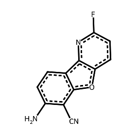 N#Cc1c(N)ccc2c1oc1ccc(F)nc12